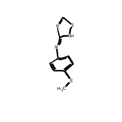 CSc1ccc(N=c2ncs[nH]2)cc1